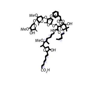 C/C=C\C=C\[C@@H]1O[C@](O)([C@H](CO[C@H]2C[C@H](OC)[C@H](O[C@@H]3C[C@@H](OC)[C@@H](O[C@H]4C[C@H](OC)[C@H](O)[C@H](C)O4)[C@H](C)O3)[C@H](C)O2)C(=O)NC/C=C/C=C(\C)C(OC)C(C)C2CC(O)C(/C=C/C=C/C=C/C(=O)O)O2)[C@H](OC(=O)Cc2ccccc2)[C@H](O)C1(C)C